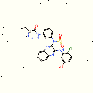 CC[C@H](N)C(=O)Nc1cccc(N(c2nc3ccccc3nc2Nc2cc(OC)ccc2Cl)[SH](=O)=O)c1